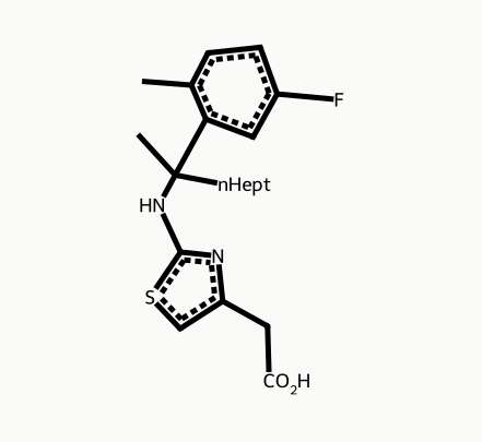 CCCCCCCC(C)(Nc1nc(CC(=O)O)cs1)c1cc(F)ccc1C